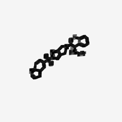 CCCN[C@@H](C(=O)N1Cc2cn(S(=O)(=O)c3ccc4ncccc4c3)nc2C1)c1ccccc1F